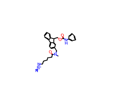 CN(Cc1ccc2c(c1)C(COC(=O)Nc1ccccc1)c1ccccc1-2)C(=O)CCCCCN=[N+]=[N-]